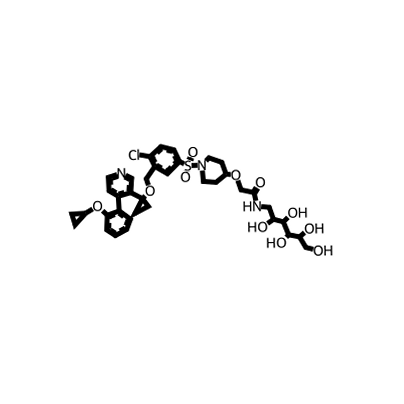 O=C(COC1CCN(S(=O)(=O)c2ccc(Cl)c(COC3(c4cnccc4-c4ccccc4OC4CC4)CC3)c2)CC1)NCC(O)C(O)C(O)C(O)CO